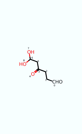 O=CCCC(=O)CC(O)O